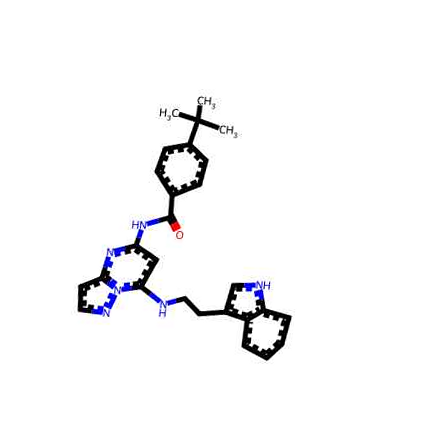 CC(C)(C)c1ccc(C(=O)Nc2cc(NCCc3c[nH]c4ccccc34)n3nccc3n2)cc1